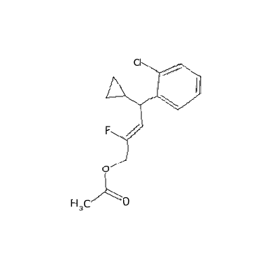 CC(=O)OC/C(F)=C/C(c1ccccc1Cl)C1CC1